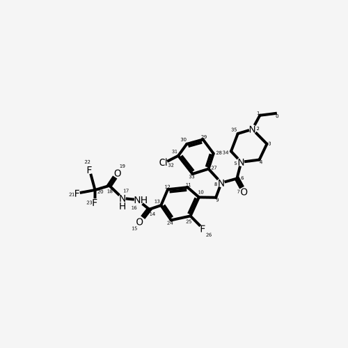 CCN1CCN(C(=O)N(Cc2ccc(C(=O)NNC(=O)C(F)(F)F)cc2F)c2cccc(Cl)c2)CC1